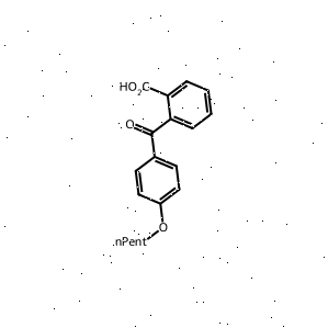 CCCCCOc1ccc(C(=O)c2ccccc2C(=O)O)cc1